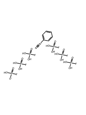 N#[N+]c1ccccc1.O=P(O)(O)F.O=P(O)(O)F.O=P(O)(O)F.O=P(O)(O)F.O=P(O)(O)F.O=P([O-])(O)F